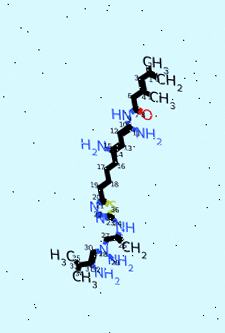 C=C(C)/C=C(\C)CC(=O)N/C(N)=C/C=C(\N)CCCCc1nnc(NC(=C)CN(N)/C=C(\N)C(C)C)s1